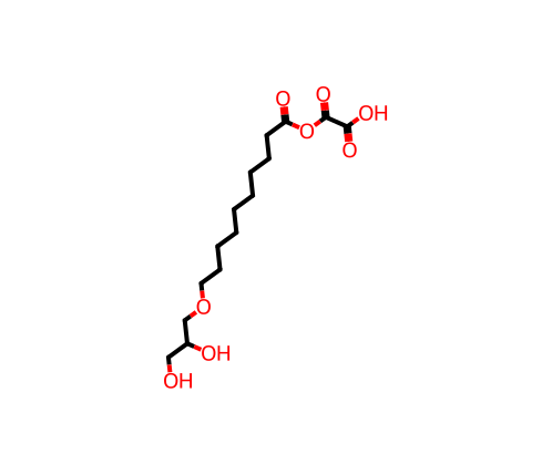 O=C(CCCCCCCCCOCC(O)CO)OC(=O)C(=O)O